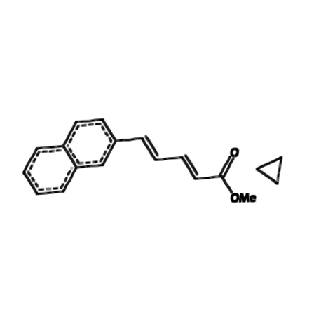 C1CC1.COC(=O)C=CC=Cc1ccc2ccccc2c1